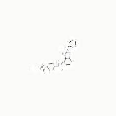 NS(=O)(=O)c1ccc(C(=O)Nc2cccc3sc(Nc4ccccc4)nc23)cc1